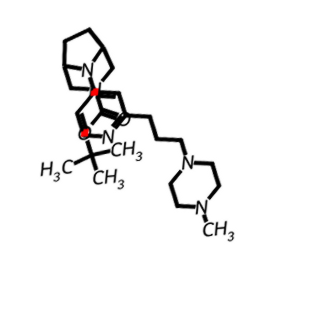 CN1CCN(CCCc2cc(N3C4CCC3CN(C(=O)OC(C)(C)C)C4)ccn2)CC1